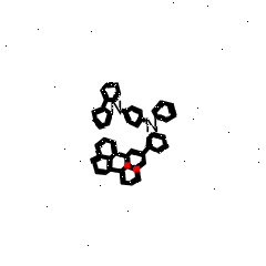 c1ccc(-c2cccc3cccc(-c4cccc(-c5cccc(N(c6ccccc6)c6ccc(-n7c8ccccc8c8ccccc87)cc6)c5)c4)c23)cc1